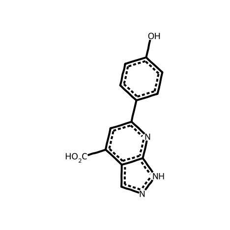 O=C(O)c1cc(-c2ccc(O)cc2)nc2[nH]ncc12